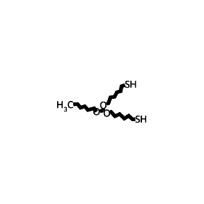 CCCCCCOC(OCCCCCCS)OCCCCCCS